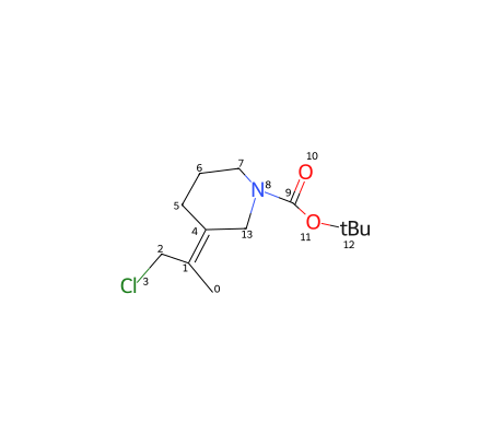 C/C(CCl)=C1/CCCN(C(=O)OC(C)(C)C)C1